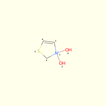 O[N+]1(O)C=CSC1